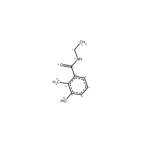 CCNC(=O)c1cccc(O)c1C